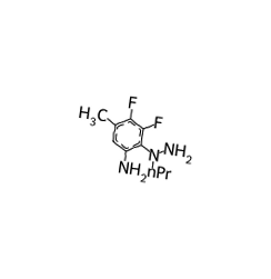 CCCN(N)c1c(N)cc(C)c(F)c1F